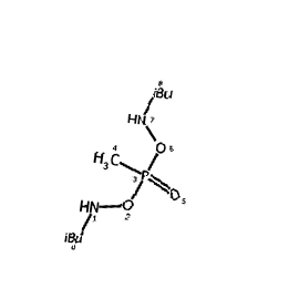 CCC(C)NOP(C)(=O)ONC(C)CC